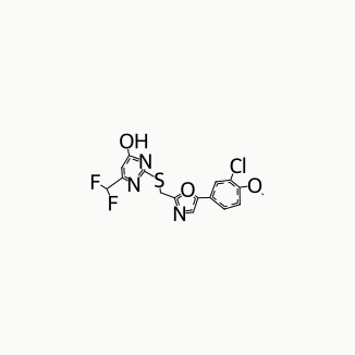 COc1ccc(-c2cnc(CSc3nc(O)cc(C(F)F)n3)o2)cc1Cl